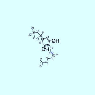 CC(C)=CCC/C(C)=C/Cc1c(O)cc(C(C)(C)CC(C)(C)C)cc1O